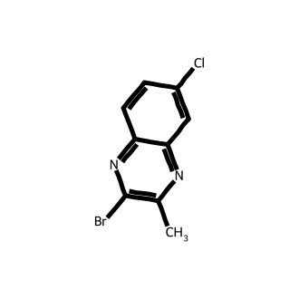 Cc1nc2cc(Cl)ccc2nc1Br